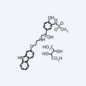 CS(=O)(=O)Nc1cc([C@@H](O)CNCCOc2ccc3c(c2)[nH]c2ccccc23)ccc1O.O=C(O)C(O)C(O)C(=O)O